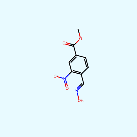 COC(=O)c1ccc(C=NO)c([N+](=O)[O-])c1